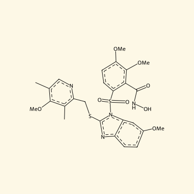 COc1ccc2nc(SCc3ncc(C)c(OC)c3C)n(S(=O)(=O)c3ccc(OC)c(OC)c3C(=O)NO)c2c1